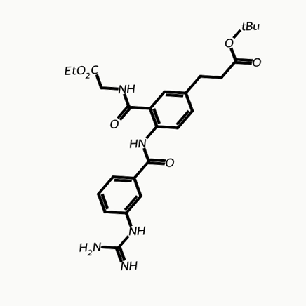 CCOC(=O)CNC(=O)c1cc(CCC(=O)OC(C)(C)C)ccc1NC(=O)c1cccc(NC(=N)N)c1